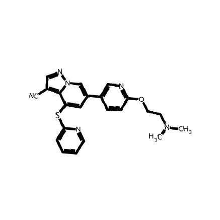 CN(C)CCOc1ccc(-c2cc(Sc3ccccn3)c3c(C#N)cnn3c2)cn1